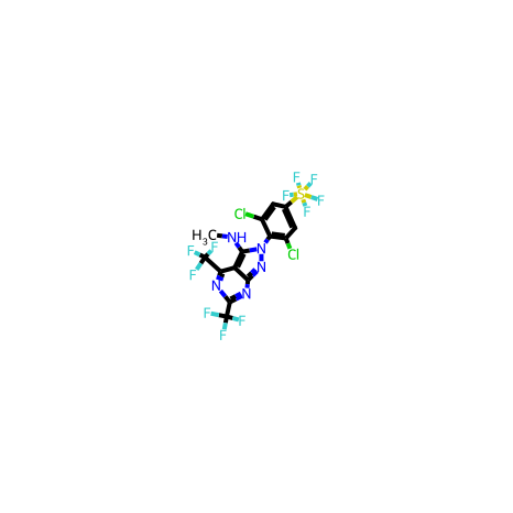 CNc1c2c(C(F)(F)F)nc(C(F)(F)F)nc2nn1-c1c(Cl)cc(S(F)(F)(F)(F)F)cc1Cl